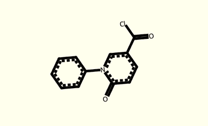 O=C(Cl)c1ccc(=O)n(-c2ccccc2)c1